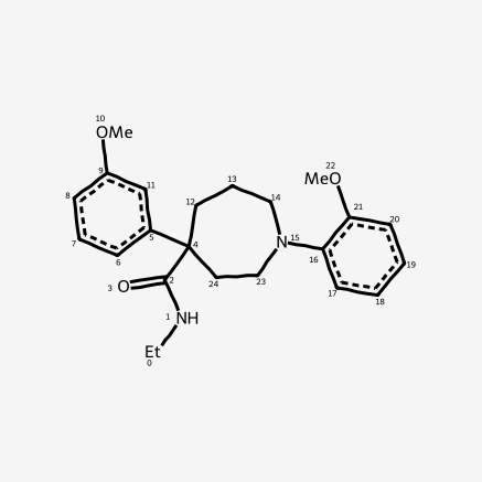 CCNC(=O)C1(c2cccc(OC)c2)CCCN(c2ccccc2OC)CC1